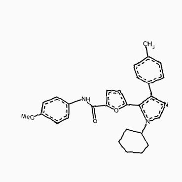 COc1ccc(NC(=O)c2ccc(-c3c(-c4ccc(C)cc4)ncn3C3CCCCC3)o2)cc1